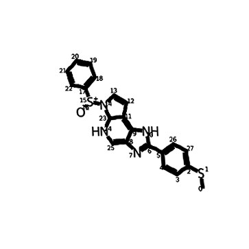 CSc1ccc(-c2nc3c([nH]2)=C2C=CN([S+]([O-])c4ccccc4)C2NC=3)cc1